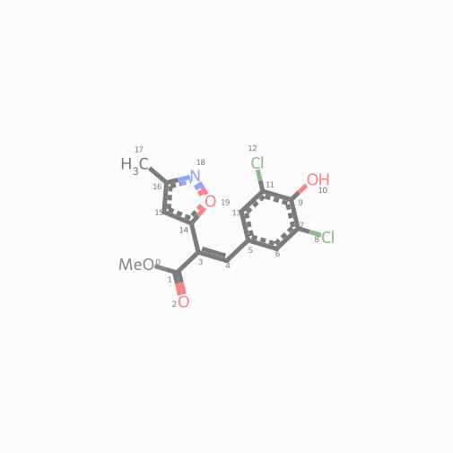 COC(=O)C(=Cc1cc(Cl)c(O)c(Cl)c1)c1cc(C)no1